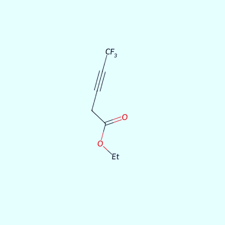 CCOC(=O)CC#CC(F)(F)F